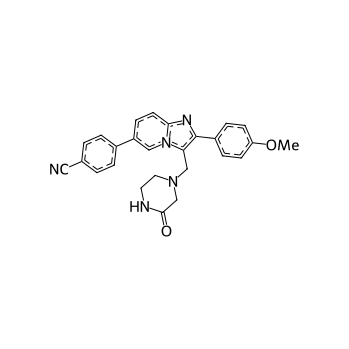 COc1ccc(-c2nc3ccc(-c4ccc(C#N)cc4)cn3c2CN2CCNC(=O)C2)cc1